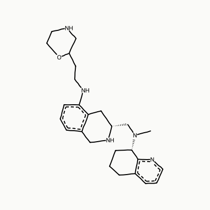 CN(C[C@H]1Cc2c(cccc2NCCC2CNCCO2)CN1)[C@H]1CCCc2cccnc21